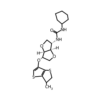 CC1CSc2c(O[C@H]3CO[C@H]4[C@@H]3OC[C@@H]4NC(=O)NC3CCCCC3)csc21